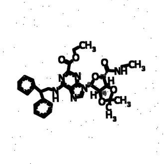 CCNC(=O)[C@H]1O[C@@H](n2cnc3c(NCC(c4ccccc4)c4ccccc4)nc(C(=O)OCC)nc32)[C@@H]2OC(C)(C)O[C@@H]21